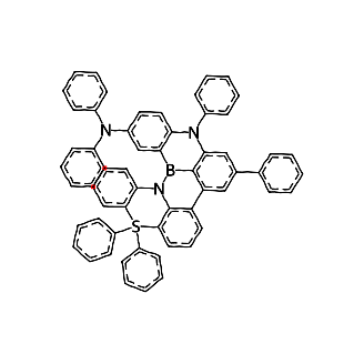 c1ccc(-c2cc3c4c(c2)N(c2ccccc2)c2ccc(N(c5ccccc5)c5ccccc5)cc2B4N2c4ccccc4S(c4ccccc4)(c4ccccc4)c4cccc-3c42)cc1